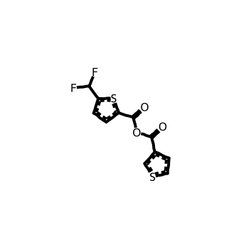 O=C(OC(=O)c1ccc(C(F)F)s1)c1ccsc1